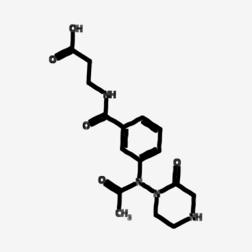 CC(=O)N(c1cccc(C(=O)NCCC(=O)O)c1)N1CCNCC1=O